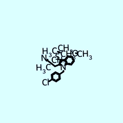 COc1ccc2c(c1)c(SC(C)(C)C)c(CC(C)(C)C#N)n2Cc1ccc(Cl)cc1